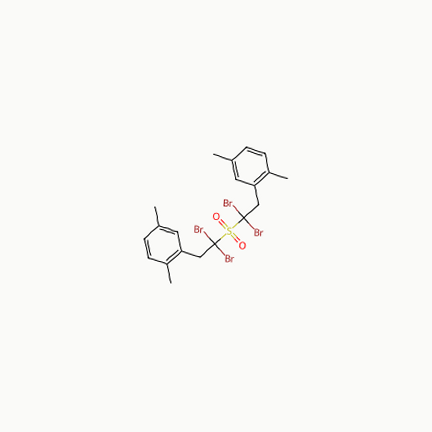 Cc1ccc(C)c(CC(Br)(Br)S(=O)(=O)C(Br)(Br)Cc2cc(C)ccc2C)c1